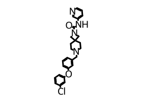 O=C(Nc1cccnc1)N1CC2(CCN(Cc3cccc(Oc4cccc(Cl)c4)c3)CC2)C1